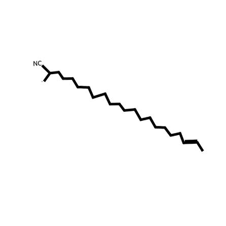 [CH2]C(C#N)CCCCCCCCCCCCCCCCCC=CC